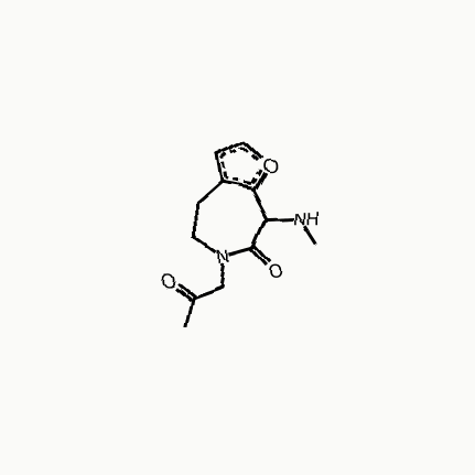 CNC1C(=O)N(CC(C)=O)CCc2ccoc21